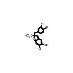 O=C(O)C1(Cc2ccc(F)c(C(F)(F)F)c2)C=c2cc(O)c(Cl)cc2=N1